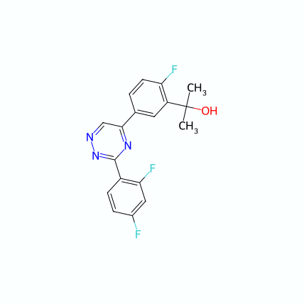 CC(C)(O)c1cc(-c2cnnc(-c3ccc(F)cc3F)n2)ccc1F